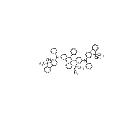 CC1(C)c2ccccc2-c2ccc(N(c3ccccc3)c3ccc4c(c3)C(C)(C)c3cccc5c3c-4c(-c3ccccc3)c3ccc(N(c4ccccc4)c4ccc6c(c4)C(C)(C)c4ccccc4-6)cc35)cc21